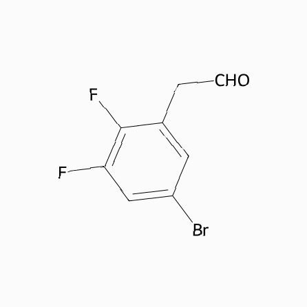 O=CCc1cc(Br)cc(F)c1F